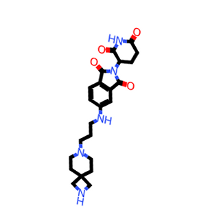 O=C1CCC(N2C(=O)c3ccc(NCCCN4CCC5(CC4)CNC5)cc3C2=O)C(=O)N1